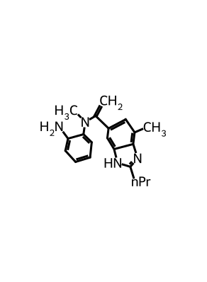 C=C(c1cc(C)c2nc(CCC)[nH]c2c1)N(C)c1ccccc1N